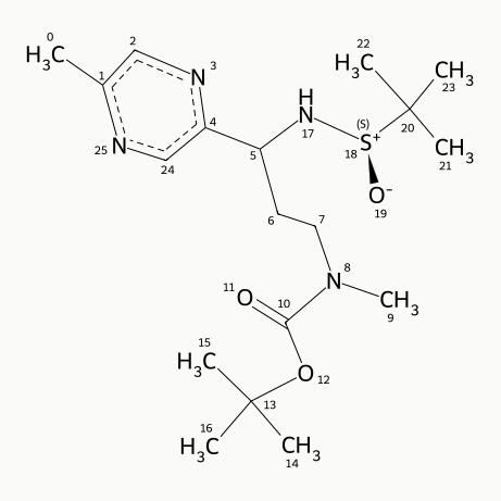 Cc1cnc(C(CCN(C)C(=O)OC(C)(C)C)N[S@+]([O-])C(C)(C)C)cn1